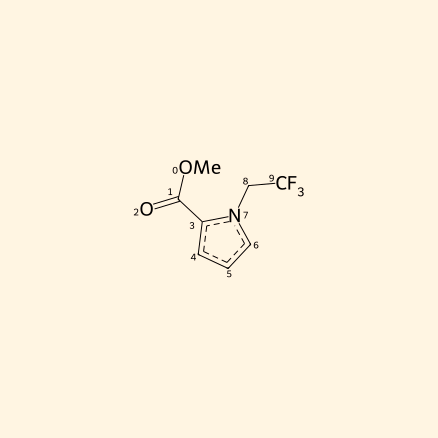 COC(=O)c1cccn1CC(F)(F)F